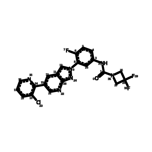 O=C(Nc1ccc(F)c(-n2cc3cc(-c4ncccc4Cl)cnc3n2)c1)N1CC(F)(F)C1